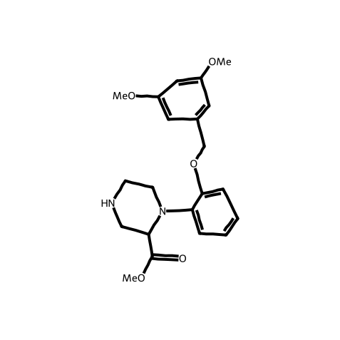 COC(=O)C1CNCCN1c1ccccc1OCc1cc(OC)cc(OC)c1